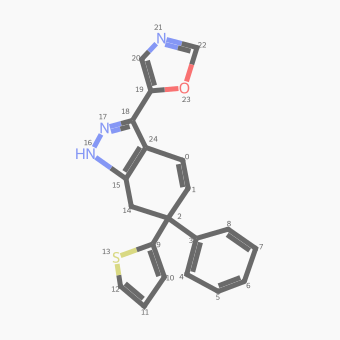 C1=CC(c2ccccc2)(c2cccs2)Cc2[nH]nc(-c3cnco3)c21